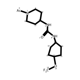 CC(=O)N1CCC(NC(=O)NC2CCC(OC(F)(F)F)CC2)CC1